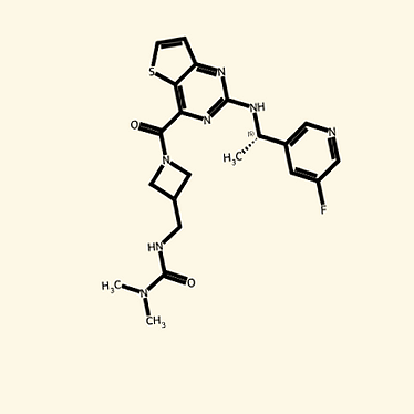 C[C@H](Nc1nc(C(=O)N2CC(CNC(=O)N(C)C)C2)c2sccc2n1)c1cncc(F)c1